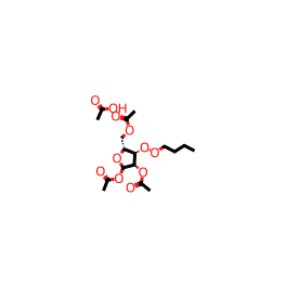 CC(=O)O.CCCCOO[C@H]1[C@@H](COC(C)=O)OC(OC(C)=O)[C@@H]1OC(C)=O